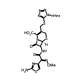 CCCCCCn1nnnc1SCC1=C(C(=O)O)N2C(=O)C(NC(=O)C(=NOC)c3csc(N)n3)[C@@H]2SC1